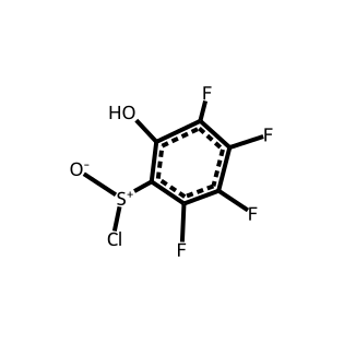 [O-][S+](Cl)c1c(O)c(F)c(F)c(F)c1F